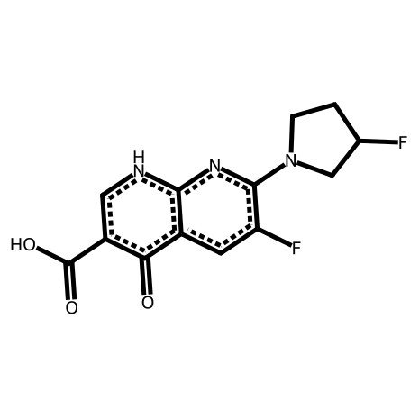 O=C(O)c1c[nH]c2nc(N3CCC(F)C3)c(F)cc2c1=O